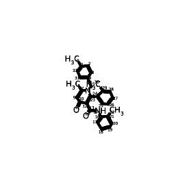 Cc1ccc(Cn2c(C)cc(=O)c(C(=O)Nc3ccccc3C)c2-c2ccccc2C)cc1